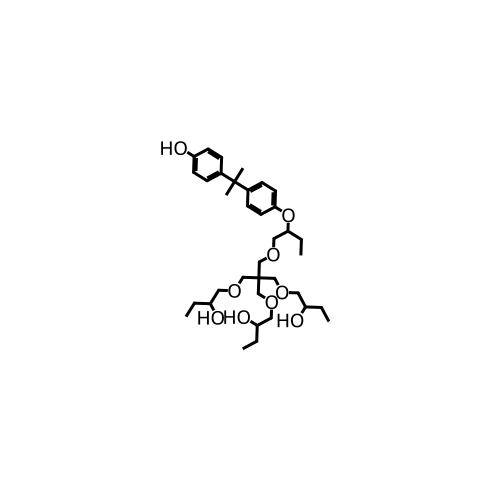 CCC(O)COCC(COCC(O)CC)(COCC(O)CC)COCC(CC)Oc1ccc(C(C)(C)c2ccc(O)cc2)cc1